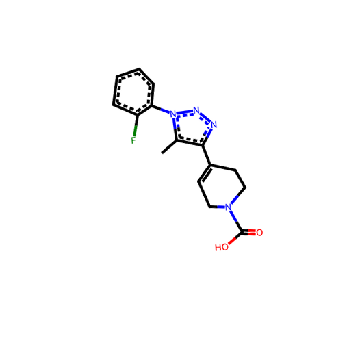 Cc1c(C2=CCN(C(=O)O)CC2)nnn1-c1ccccc1F